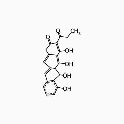 CCC(=O)C1=C(O)C2=C(O)C3C(=Cc4cccc(O)c4C3O)C=C2CC1=O